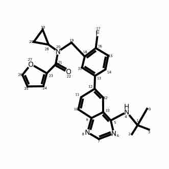 CC(C)(C)Nc1ncnc2ccc(-c3ccc(F)c(CN(C(=O)c4ccco4)C4CC4)c3)cc12